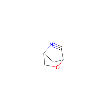 C1#[N+]C2COC1C2